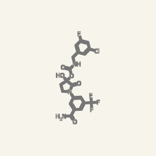 NC(=O)c1cc(N2CCC(O)(OC(=O)NCc3cc(F)cc(Cl)c3)C2=O)cc(C(F)(F)F)c1